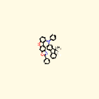 CC1(C)c2ccccc2-c2ccc(N(c3ccccc3)c3cccc4oc5cc6oc(-c7ccccc7)nc6cc5c34)cc21